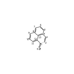 S=C1C=Cc2cccc3cccc1c23